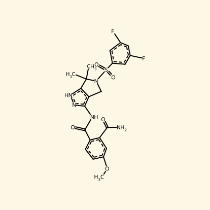 COc1ccc(C(=O)Nc2n[nH]c3c2CN(S(=O)(=O)c2cc(F)cc(F)c2)C3(C)C)c(C(N)=O)c1